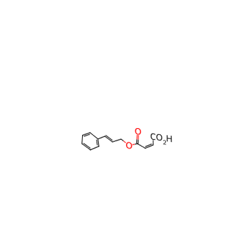 O=C(O)/C=C\C(=O)OCC=Cc1ccccc1